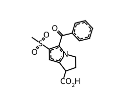 CS(=O)(=O)c1cc2n(c1C(=O)c1ccccc1)CCC2C(=O)O